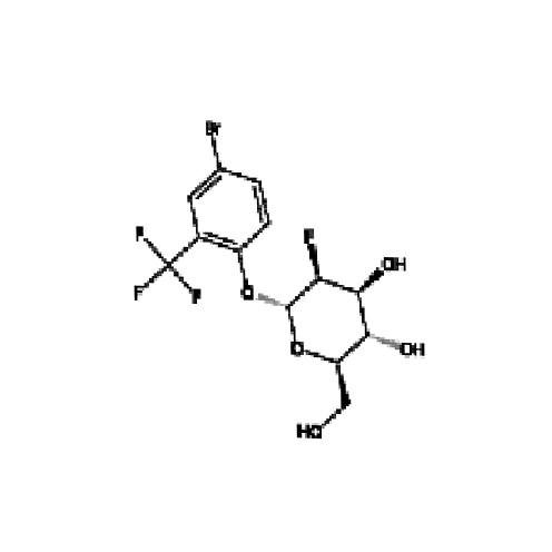 OC[C@H]1O[C@H](Oc2ccc(Br)cc2C(F)(F)F)[C@@H](F)[C@@H](O)[C@@H]1O